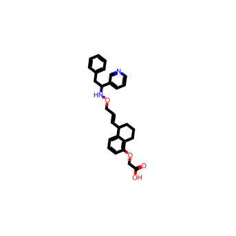 O=C(O)COc1cccc2c1CCCC2C=CCONC(Cc1ccccc1)c1cccnc1